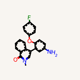 Cn1cc(-c2cc(N)ccc2Oc2ccc(F)cc2)c2ccccc2c1=O